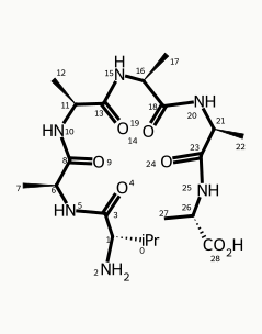 CC(C)[C@H](N)C(=O)N[C@@H](C)C(=O)N[C@@H](C)C(=O)N[C@@H](C)C(=O)N[C@@H](C)C(=O)N[C@@H](C)C(=O)O